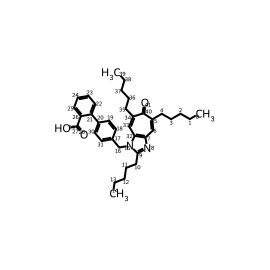 CCCCCc1cc2nc(CCCCC)n(Cc3ccc(-c4ccccc4C(=O)O)cc3)c2cc(CCCCC)c1=O